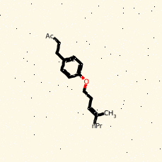 CCCC(C)=CCCOc1ccc(CCC(C)=O)cc1